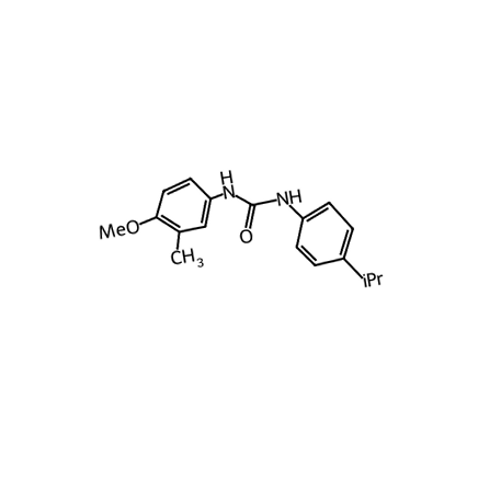 COc1ccc(NC(=O)Nc2ccc(C(C)C)cc2)cc1C